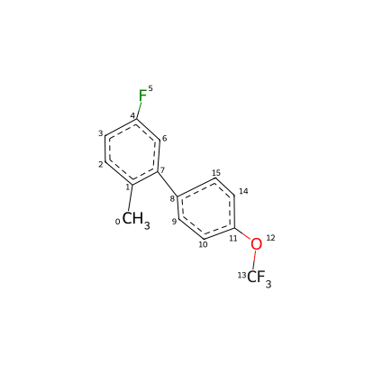 Cc1ccc(F)cc1-c1ccc(OC(F)(F)F)cc1